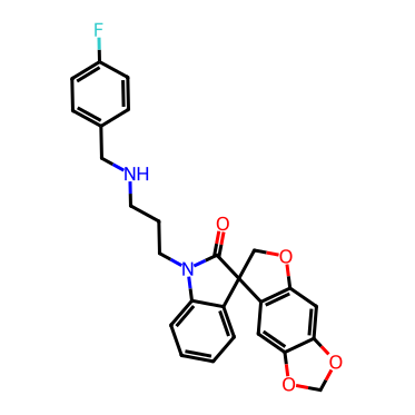 O=C1N(CCCNCc2ccc(F)cc2)c2ccccc2C12COc1cc3c(cc12)OCO3